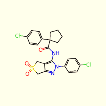 O=C(Nc1c2c(nn1-c1ccc(Cl)cc1)CS(=O)(=O)C2)C1(c2ccc(Cl)cc2)CCCC1